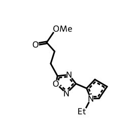 CCn1cccc1-c1noc(CCC(=O)OC)n1